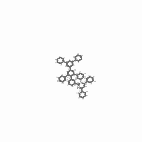 c1ccc(-c2cc(-c3ccccc3)cc(-c3cc(-c4ccccc4)c(-c4cccc(-c5nc(-c6ccccc6)cc(-c6ccccc6)n5)c4)c(-c4ccccc4)c3)c2)cc1